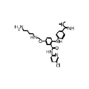 CN(C)C(=N)c1ccc(Nc2ccc(OCNCCCCN)cc2C(=O)Nc2ccc(Cl)cn2)cc1